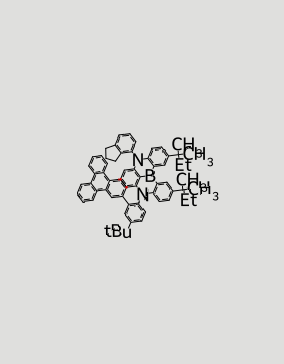 CCC(C)(C)c1ccc2c(c1)B1c3cc(C(C)(C)CC)ccc3N(c3cccc4c3CCC4)c3cccc(c31)N2c1ccc(C(C)(C)C)cc1-c1ccc2c3ccccc3c3ccccc3c2c1